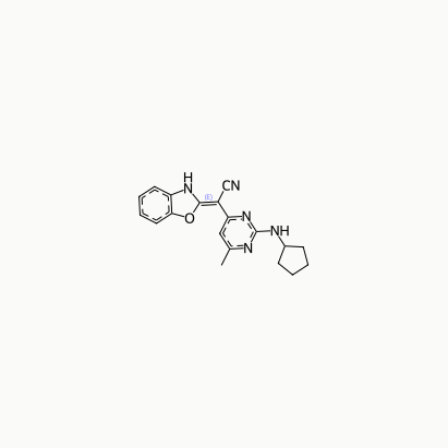 Cc1cc(/C(C#N)=C2/Nc3ccccc3O2)nc(NC2CCCC2)n1